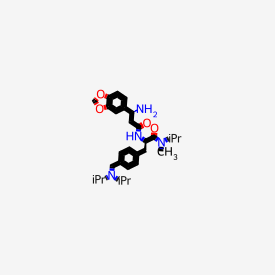 CC(C)N(C)C(=O)[C@@H](Cc1ccc(CN(C(C)C)C(C)C)cc1)NC(=O)C[C@@H](N)c1ccc2c(c1)OCO2